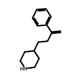 C=C(CCC1CCNCC1)c1ccccc1